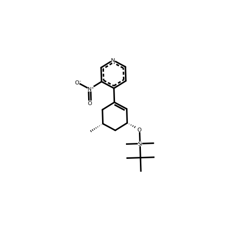 C[C@@H]1CC(c2ccncc2[N+](=O)[O-])=C[C@H](O[Si](C)(C)C(C)(C)C)C1